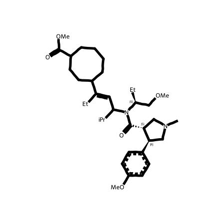 CCC(=CC(C(C)C)N(C(=O)[C@@H]1CN(C)C[C@H]1c1ccc(OC)cc1)[C@@H](CC)COC)C1CCCCC(C(=O)OC)CC1